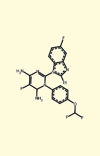 CCc1nc2cc(F)ccc2n1C1=NC(N)=C(F)C(N)N1c1ccc(OC(F)F)cc1